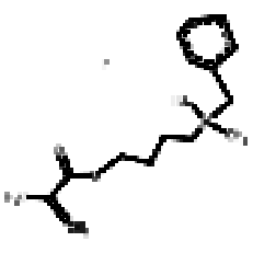 C=C(C)C(=O)OCCCC[N+](C)(C)Cc1ccccc1.[I-]